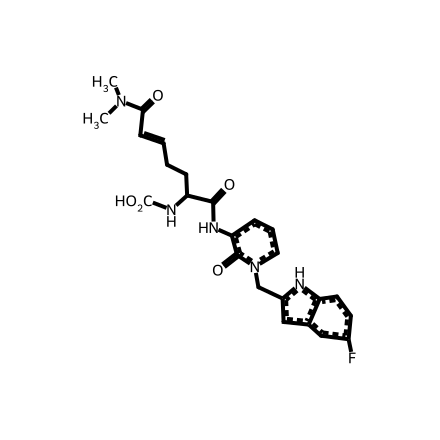 CN(C)C(=O)/C=C/CCC(NC(=O)O)C(=O)Nc1cccn(Cc2cc3cc(F)ccc3[nH]2)c1=O